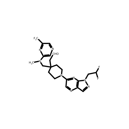 CN(CC1(CC=O)CCN(c2cnc3cnn(CC(F)F)c3n2)CC1)c1cncc(C(F)(F)F)n1